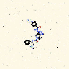 CN(C)C[C@@H](NC(=O)N1Cc2c(NC(=O)c3ccc(N)cc3)nn(C)c2C1(C)C)c1ccccc1